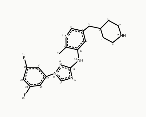 Cc1ncc(CC2CCNCC2)cc1Nc1ncn(-c2cc(F)cc(F)c2)n1